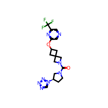 O=C(N1CC[C@@H](n2cnnn2)C1)N1CC2(CC(Oc3cncc(C(F)(F)F)n3)C2)C1